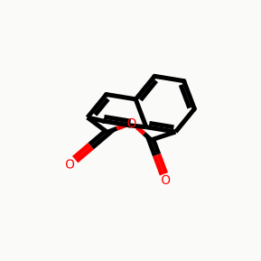 O=C1OC(=O)c2cccc3cc1ccc23